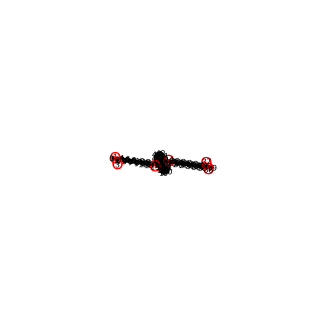 COC(=O)CCCCCCCCCCCOc1c2ccccc2c(OCCCCCCCCCCCC(=O)OC)c2ccccc12